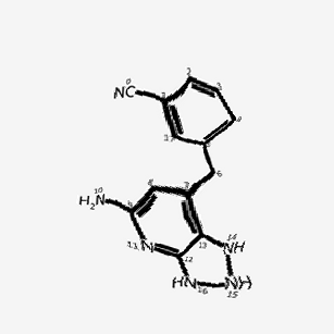 N#Cc1cccc(Cc2cc(N)nc3c2NNN3)c1